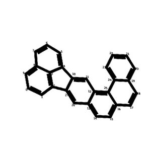 c1cc2c3c(cccc3c1)-c1cc3c(ccc4ccc5ccccc5c43)cc1-2